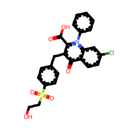 O=C(O)c1c(Cc2ccc(S(=O)(=O)CCO)cc2)c(=O)c2ccc(Cl)cc2n1-c1ccccc1